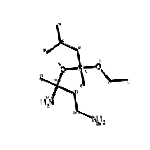 CCO[Si](C)(CC(C)C)OC(C)(N)CCN